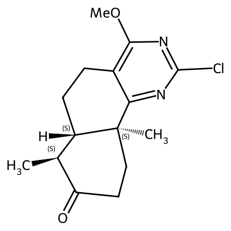 COc1nc(Cl)nc2c1CC[C@H]1[C@H](C)C(=O)CC[C@]21C